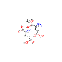 N[C@@H](CCC(=O)O)C(=O)[O-].N[C@@H](CCC(=O)O)C(=O)[O-].[Ba+2]